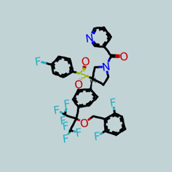 O=C(c1cccnc1)N1CC[C@](c2ccc(C(OCc3c(F)cccc3F)(C(F)(F)F)C(F)(F)F)cc2)(S(=O)(=O)c2ccc(F)cc2)C1